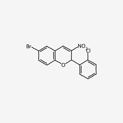 O=[N+]([O-])C1=Cc2cc(Br)ccc2OC1c1ccccc1Cl